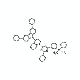 CC1(C)c2ccccc2-c2ccc(-c3cc(-c4ccc(-n5c6ccc(-c7ccccc7)cc6c6cc(-c7ccccc7)ccc65)c5ccccc45)nc(-c4ccccc4)n3)cc21